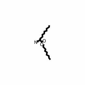 CCCCCCCCC=C(C#N)C(=O)OCCCCCCCCC